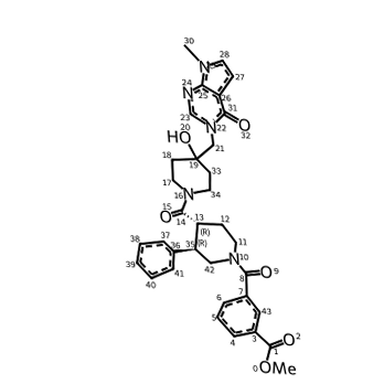 COC(=O)c1cccc(C(=O)N2CC[C@@H](C(=O)N3CCC(O)(Cn4cnc5c(ccn5C)c4=O)CC3)[C@H](c3ccccc3)C2)c1